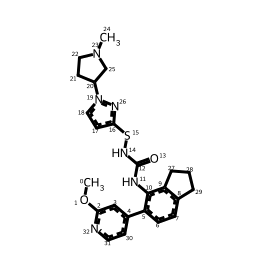 COc1cc(-c2ccc3c(c2NC(=O)NSc2ccn(C4CCN(C)C4)n2)CCC3)ccn1